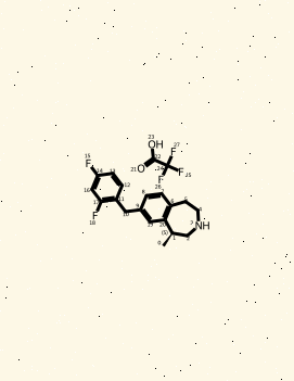 C[C@@H]1CNCCc2ccc(Cc3ccc(F)cc3F)cc21.O=C(O)C(F)(F)F